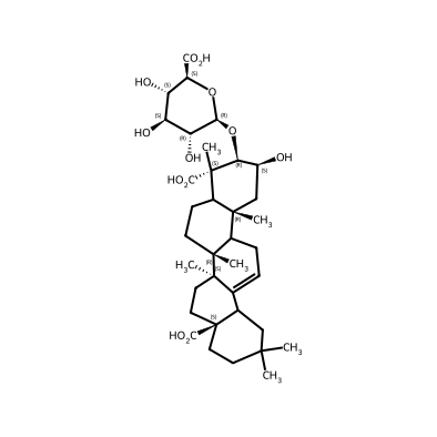 CC1(C)CC[C@]2(C(=O)O)CC[C@]3(C)C(=CCC4[C@@]5(C)C[C@H](O)[C@H](O[C@@H]6O[C@H](C(=O)O)[C@@H](O)[C@H](O)[C@H]6O)[C@@](C)(C(=O)O)C5CC[C@]43C)C2C1